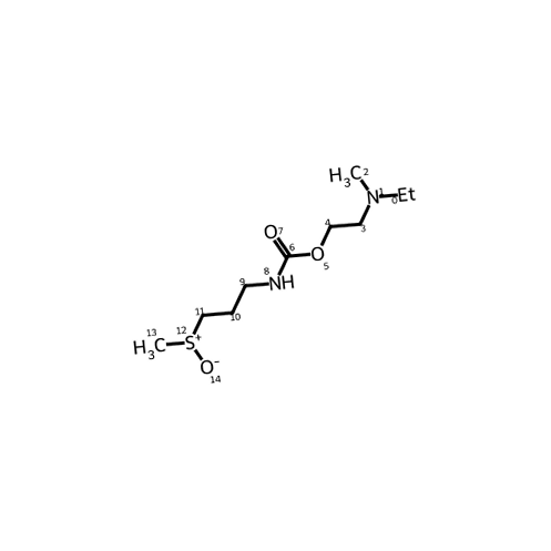 CCN(C)CCOC(=O)NCCC[S+](C)[O-]